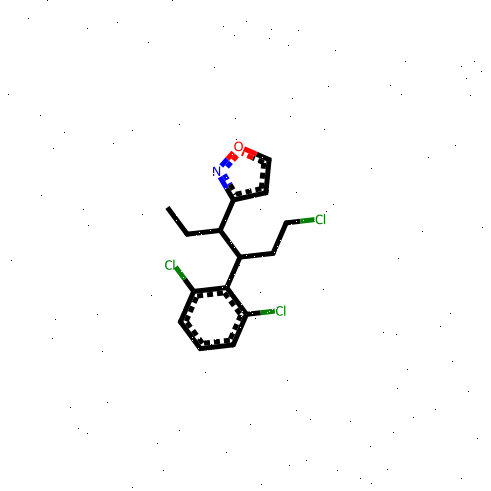 CCC(c1ccon1)C(CCCl)c1c(Cl)cccc1Cl